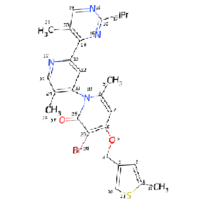 Cc1cc(COc2cc(C)n(-c3cc(-c4nc(C(C)C)ncc4C)ncc3C)c(=O)c2Br)cs1